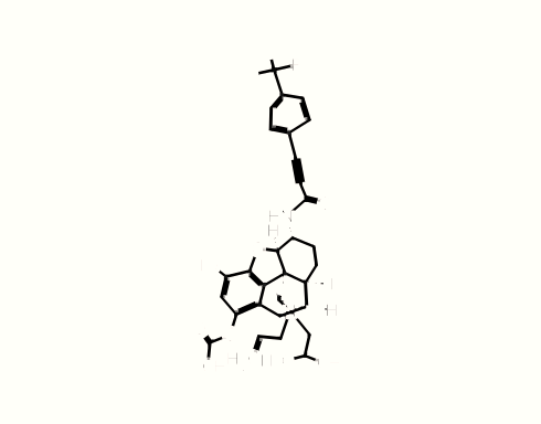 C=CC[N+]1(CC(C)C)CC[C@]23c4c5c(OC(C)=O)cc(O)c4O[C@H]2[C@H](NC(=O)C#Cc2ccc(C(F)(F)F)cc2)CC[C@H]3[C@H]1C5